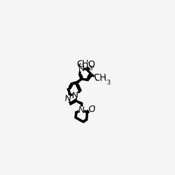 Cc1cc(-c2ccc3ncc(CN4CCCCC4=O)n3c2)cn(C)c1=O